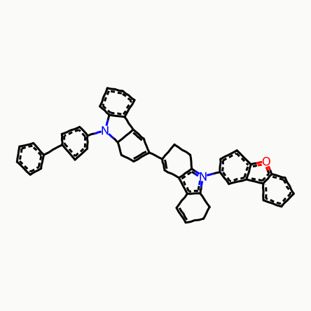 C1=Cc2c3c(n(-c4ccc5oc6ccccc6c5c4)c2CC1)CCC(C1=CCC2C(=C1)c1ccccc1N2c1ccc(-c2ccccc2)cc1)=C3